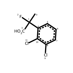 CC(F)(C(=O)O)c1cccc(Cl)c1Cl